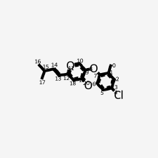 Cc1cc(Cl)ccc1Oc1coc(/C=C/C(C)C)cc1=O